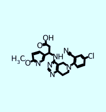 COc1ccc(C(CC(=O)O)Nc2ncnc3c2CN(c2ccc(Cl)cc2C#N)CC3)cn1